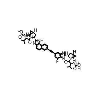 COC(=O)N[C@H](C(=O)N1[C@@H]2C[C@H]2C[C@H]1c1nc2ccc3cc(C#Cc4cc(F)c5nc([C@@H]6C[C@H]7C[C@H]7N6C(=O)[C@@H](NC(=O)O)C(C)C)[nH]c5c4)ccc3c2[nH]1)C(C)C